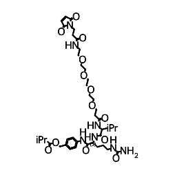 CC(C)C(=O)OCc1ccc(NC(=O)[C@H](CCCNC(N)=O)NC(=O)C(NC(=O)CCOCCOCCOCCOCCNC(=O)CCN2C(=O)C=CC2=O)C(C)C)cc1